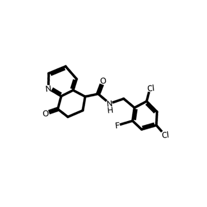 O=C1CCC(C(=O)NCc2c(F)cc(Cl)cc2Cl)c2cccnc21